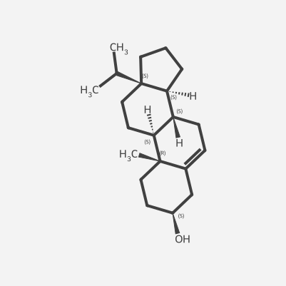 CC(C)[C@@]12CCC[C@H]1[C@@H]1CC=C3C[C@@H](O)CC[C@]3(C)[C@H]1CC2